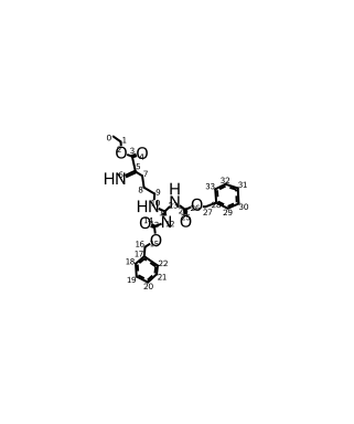 CCOC(=O)C(=N)CCCN/C(=N\C(=O)OCc1ccccc1)NC(=O)OCc1ccccc1